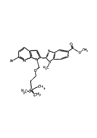 COC(=O)c1ccc2c(c1)nc(-c1cc3ccc(Br)nc3n1COCC[Si](C)(C)C)n2C